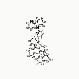 c1cc(-c2cccc(-n3c4ccccc4c4ncccc43)n2)nc(-c2c3ccccc3c(-c3cccc4ccccc34)c3ccccc23)c1